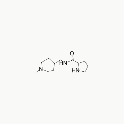 CN1CCC(CNC(=O)C2CCCN2)CC1